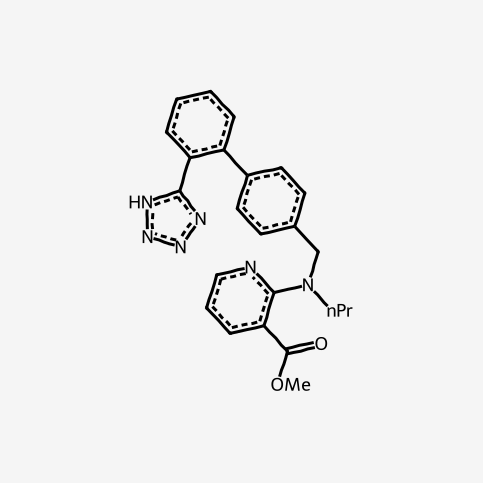 CCCN(Cc1ccc(-c2ccccc2-c2nnn[nH]2)cc1)c1ncccc1C(=O)OC